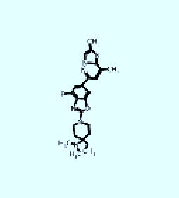 CCC1(N(C)C)CCN(c2nc3c(F)cc(-c4cc(C)c5nc(C)cn5n4)cc3o2)CC1